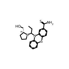 CCC(N1c2ccccc2Sc2ccc(C(N)=S)cc21)N1CCC[C@@H]1CO